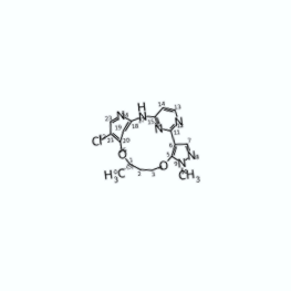 C[C@H]1CCOc2c(cnn2C)-c2nccc(n2)Nc2cc(c(Cl)cn2)O1